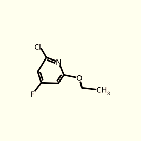 CCOc1cc(F)cc(Cl)n1